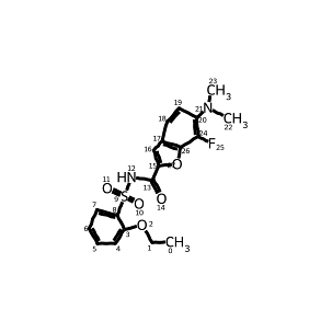 CCOc1ccccc1S(=O)(=O)NC(=O)c1cc2ccc(N(C)C)c(F)c2o1